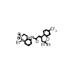 CCN1c2cccc(NC(=O)/C=C3\CC(CC)(CC)Oc4cc(C(F)(F)F)ccc43)c2CCS1(=O)=O